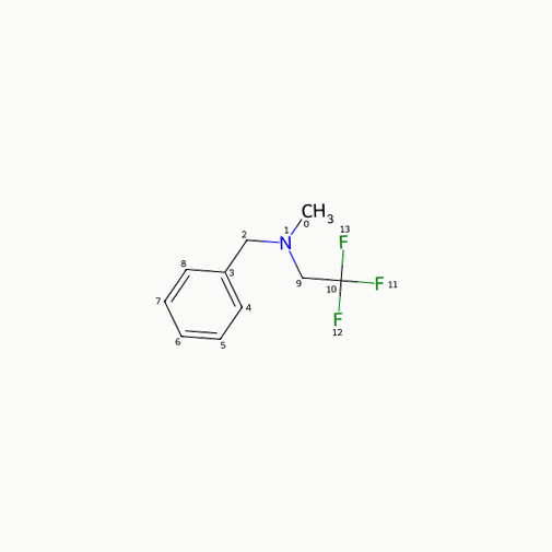 CN(Cc1ccccc1)CC(F)(F)F